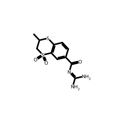 CC1CS(=O)(=O)c2cc(C(=O)N=C(N)N)ccc2S1